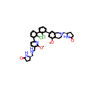 COc1cc(-c2cccc(-c3cccc(-c4ccc(CNC[C@H]5CCC(=O)N5)c(OC)n4)c3Cl)c2Cl)cc2c1CCN(C[C@H]1CCC(=O)N1)C2